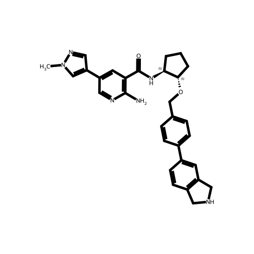 Cn1cc(-c2cnc(N)c(C(=O)N[C@H]3CCC[C@@H]3OCc3ccc(-c4ccc5c(c4)CNC5)cc3)c2)cn1